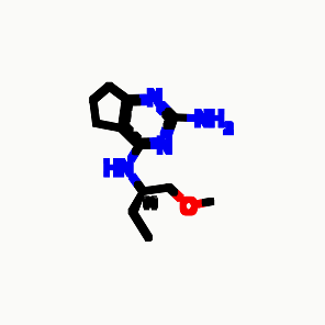 CC[C@H](COC)Nc1nc(N)nc2c1CCC2